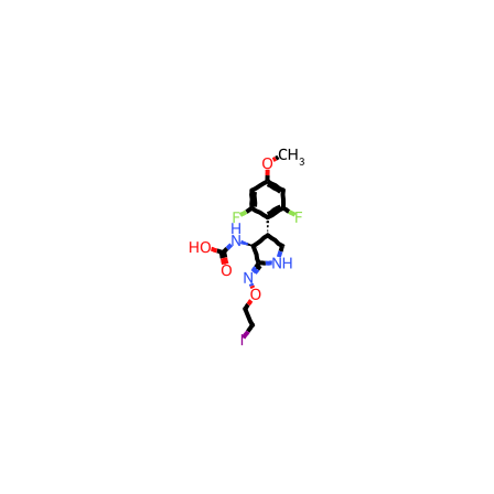 COc1cc(F)c([C@@H]2CN/C(=N\OCCI)[C@H]2NC(=O)O)c(F)c1